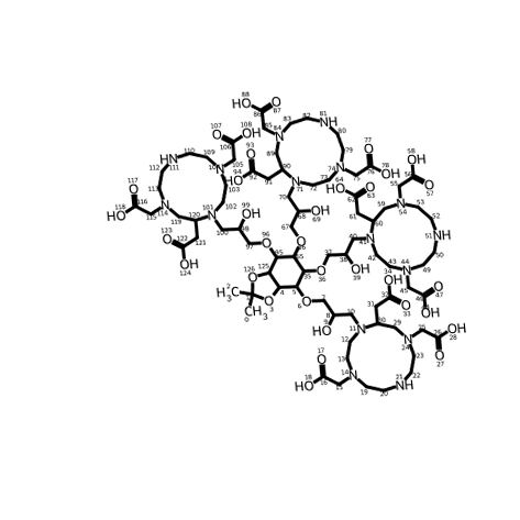 CC1(C)OC2C(OCC(O)CN3CCN(CC(=O)O)CCNCCN(CC(=O)O)CC3CC(=O)O)C(OCC(O)CN3CCN(CC(=O)O)CCNCCN(CC(=O)O)CC3CC(=O)O)C(OCC(O)CN3CCN(CC(=O)O)CCNCCN(CC(=O)O)CC3CC(=O)O)C(OCC(O)CN3CCN(CC(=O)O)CCNCCN(CC(=O)O)CC3CC(=O)O)C2O1